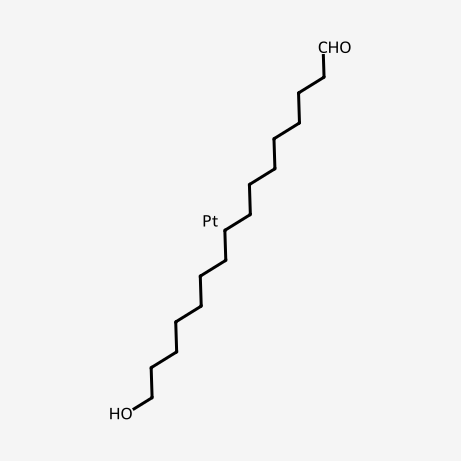 O=CCCCCCCCCCCCCCCCO.[Pt]